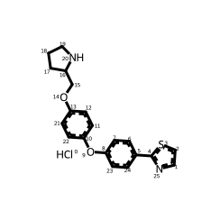 Cl.c1csc(-c2ccc(Oc3ccc(OCC4CCCN4)cc3)cc2)n1